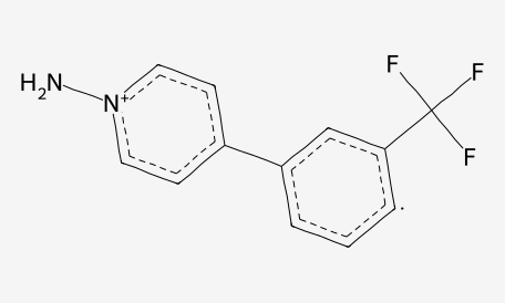 N[n+]1ccc(-c2cc[c]c(C(F)(F)F)c2)cc1